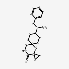 CN(Cc1ccccc1)C1CCC2(CC1)CNC(=O)C1(CC1)O2